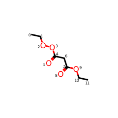 CCOOC(=O)CC(=O)OCC